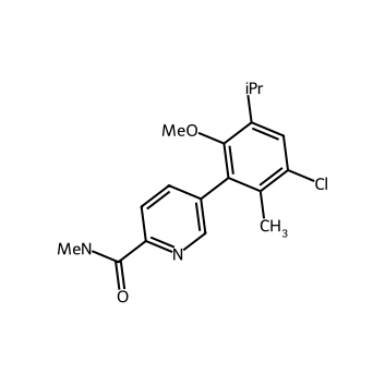 CNC(=O)c1ccc(-c2c(C)c(Cl)cc(C(C)C)c2OC)cn1